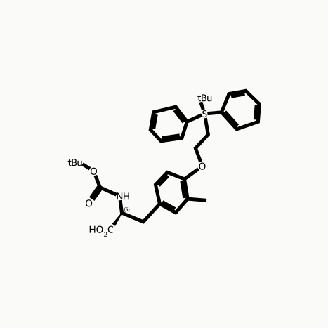 Cc1cc(C[C@H](NC(=O)OC(C)(C)C)C(=O)O)ccc1OCCS(c1ccccc1)(c1ccccc1)C(C)(C)C